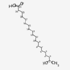 CC(O)CCCCCCCCCCCCCCCCCCC(=O)O